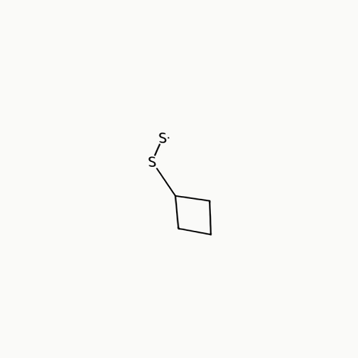 [S]SC1CCC1